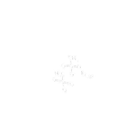 CS(=O)(=O)[O-].CS(=O)(=O)[O-].[Cu+2].[F]